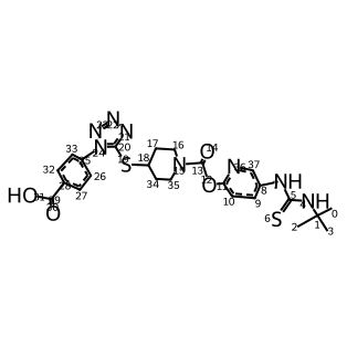 CC(C)(C)NC(=S)Nc1ccc(OC(=O)N2CCC(Sc3nnnn3-c3ccc(C(=O)O)cc3)CC2)nc1